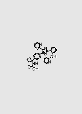 O=C(O)NC1(c2ccc(-c3c(-c4ncccn4)nc4n3-c3cccnc3Nc3ccccc3-4)cc2)CCC1